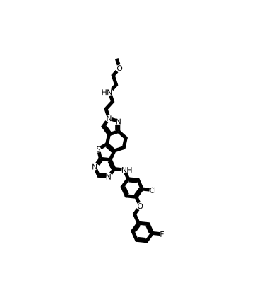 COCCNCCn1cc2c(n1)CCc1c-2sc2ncnc(Nc3ccc(OCc4cccc(F)c4)c(Cl)c3)c12